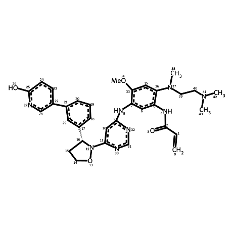 C=CC(=O)Nc1cc(Nc2cc(N3OCC[C@@H]3c3cccc(-c4ccc(O)nc4)c3)ncn2)c(OC)cc1N(C)CCN(C)C